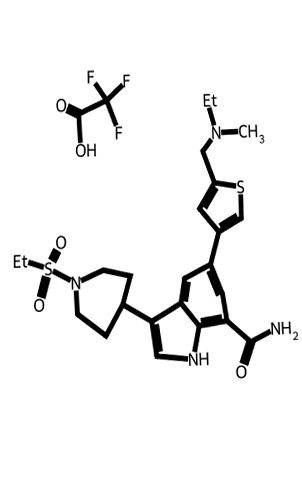 CCN(C)Cc1cc(-c2cc(C(N)=O)c3[nH]cc(C4CCN(S(=O)(=O)CC)CC4)c3c2)cs1.O=C(O)C(F)(F)F